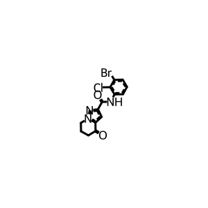 O=C(Nc1cccc(Br)c1Cl)c1cc2n(n1)CCCC2=O